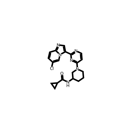 O=C(NC1CCCN(c2ccnc(-c3cnc4ccc(Cl)cn34)n2)C1)C1CC1